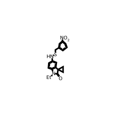 CCN1C(=O)C2(CC2)c2cc(NSCc3cccc([N+](=O)[O-])c3)ccc21